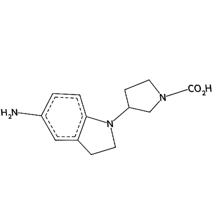 Nc1ccc2c(c1)CCN2C1CCN(C(=O)O)C1